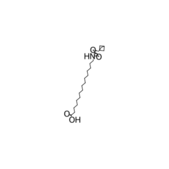 O=C(O)CCCCCCCCCCCCCCCNS(=O)(=O)C12CC(C1)C2